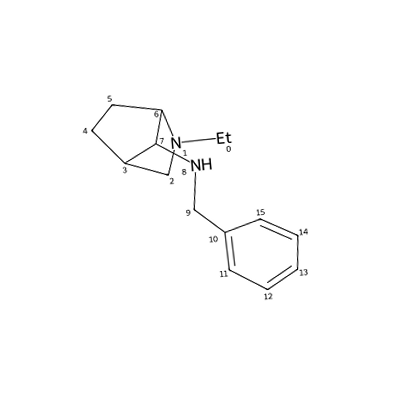 CCN1CC2CCC1C2NCc1ccccc1